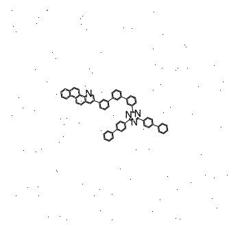 c1ccc(-c2ccc(-c3nc(-c4ccc(-c5ccccc5)cc4)nc(-c4cccc(-c5cccc(-c6cccc(-c7cnc8c(ccc9c%10ccccc%10ccc98)c7)c6)c5)c4)n3)cc2)cc1